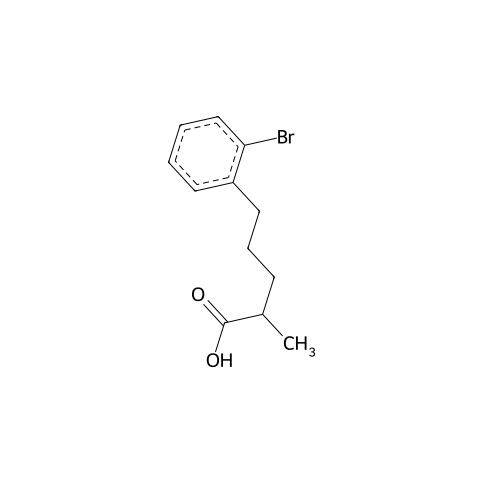 CC(CCCc1ccccc1Br)C(=O)O